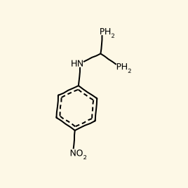 O=[N+]([O-])c1ccc(NC(P)P)cc1